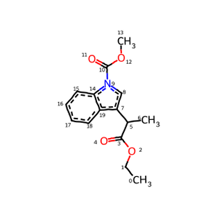 CCOC(=O)C(C)c1cn(C(=O)OC)c2ccccc12